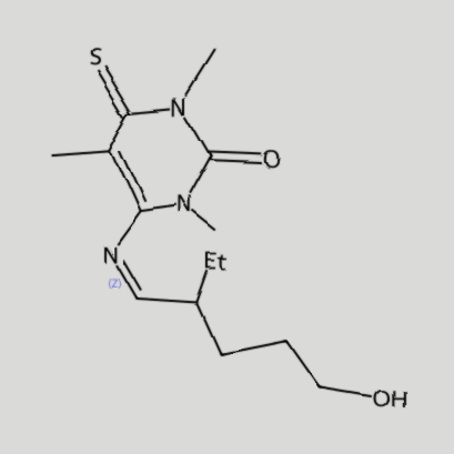 CCC(/C=N\c1c(C)c(=S)n(C)c(=O)n1C)CCCO